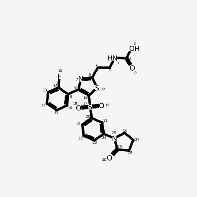 O=C(O)NCCc1nc(-c2ccccc2F)c(S(=O)(=O)c2cccc(N3CCCC3=O)c2)s1